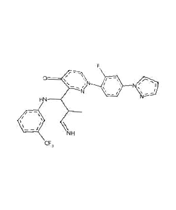 CC(C=N)C(Nc1cccc(C(F)(F)F)c1)c1nn(-c2ccc(-n3cccn3)cc2F)ccc1=O